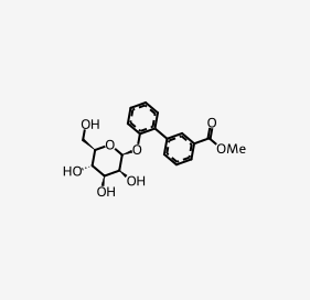 COC(=O)c1cccc(-c2ccccc2O[C@@H]2O[C@H](CO)[C@@H](O)[C@H](O)[C@@H]2O)c1